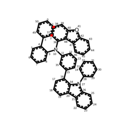 c1ccc(-c2ccccc2N(c2cccc(-c3cccc4c5ccccc5n(-c5ccccc5)c34)c2)c2cccc3oc4ccccc4c23)cc1